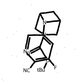 CC(C)(C)OC(=O)N1CC2CC(C1)N2c1cnc(C#N)c(F)c1